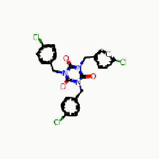 O=c1n(Cc2ccc(Cl)cc2)c(=O)n(Cc2ccc(Cl)cc2)c(=O)n1Cc1ccc(Cl)cc1